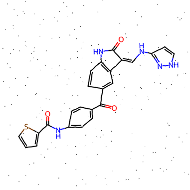 O=C1Nc2ccc(C(=O)c3ccc(NC(=O)c4cccs4)cc3)cc2/C1=C/Nc1cc[nH]n1